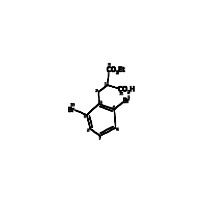 CCOC(=O)C(Cc1c(Br)cccc1Br)C(=O)O